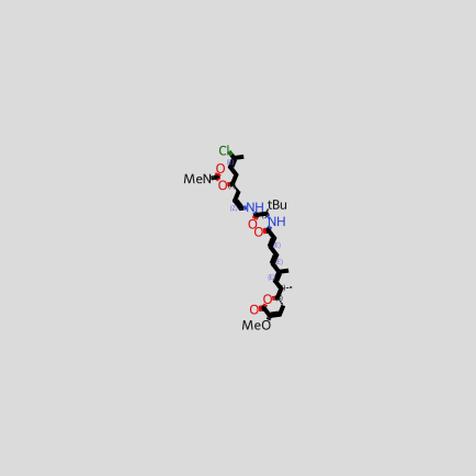 CNC(=O)O[C@H](C/C=C\NC(=O)[C@@H](NC(=O)/C=C/C=C/C(C)=C/[C@H](C)[C@@H]1CC=C(OC)C(=O)O1)C(C)(C)C)C/C=C(\C)Cl